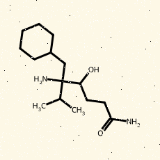 CC(C)C(N)(CC1CCCCC1)C(O)CCC(N)=O